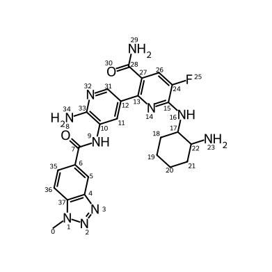 Cn1nnc2cc(C(=O)Nc3cc(-c4nc(NC5CCCCC5N)c(F)cc4C(N)=O)cnc3N)ccc21